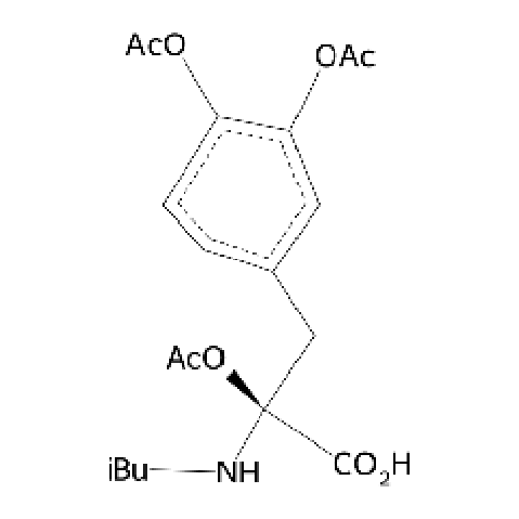 CCC(C)N[C@@](Cc1ccc(OC(C)=O)c(OC(C)=O)c1)(OC(C)=O)C(=O)O